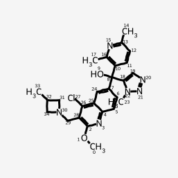 COc1nc2ccc(C(O)(c3ccc(C)nc3C)c3cnnn3C)cc2c(Cl)c1CN1CC(C)C1